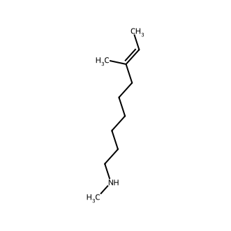 C/C=C(\C)CCCCCCNC